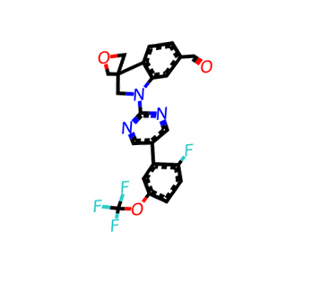 O=Cc1ccc2c(c1)N(c1ncc(-c3cc(OC(F)(F)F)ccc3F)cn1)CC21COC1